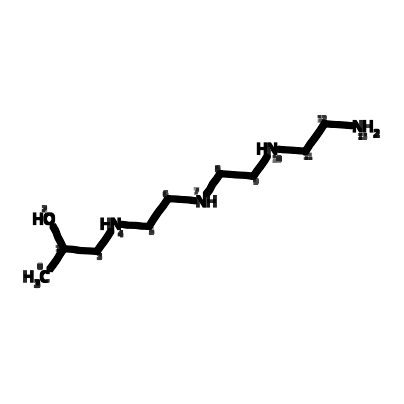 CC(O)CNCCNCCNCCN